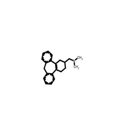 CN(C)CC1CCC2=C(C1)c1ccccc1Cc1ccccc12